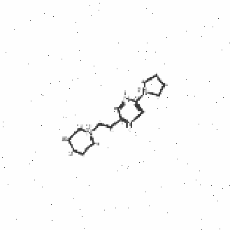 c1nc(N2CCCC2)cnc1CCN1CCCCC1